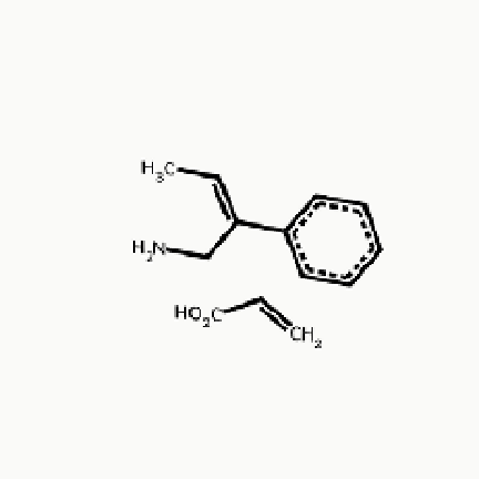 C=CC(=O)O.CC=C(CN)c1ccccc1